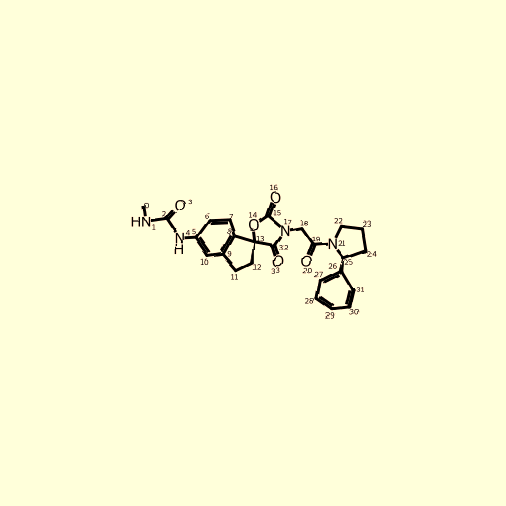 CNC(=O)Nc1ccc2c(c1)CC[C@]21OC(=O)N(CC(=O)N2CCC[C@H]2c2ccccc2)C1=O